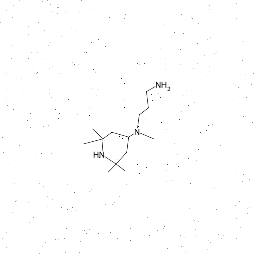 CN(CCCN)C1CC(C)(C)NC(C)(C)C1